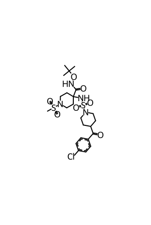 CC(C)(C)ONC(=O)C1(NS(=O)(=O)N2CCC(C(=O)c3ccc(Cl)cc3)CC2)CCN(S(C)(=O)=O)CC1